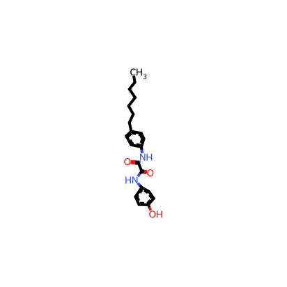 CCCCCCCc1ccc(NC(=O)C(=O)Nc2ccc(O)cc2)cc1